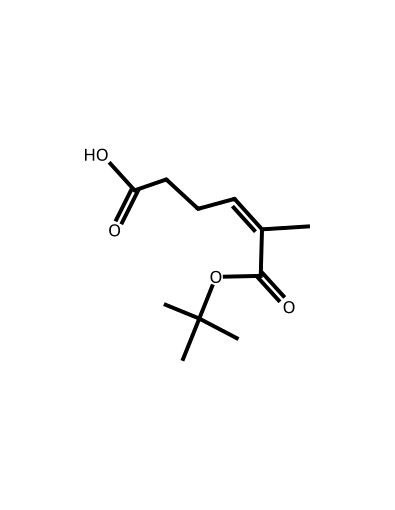 CC(=CCCC(=O)O)C(=O)OC(C)(C)C